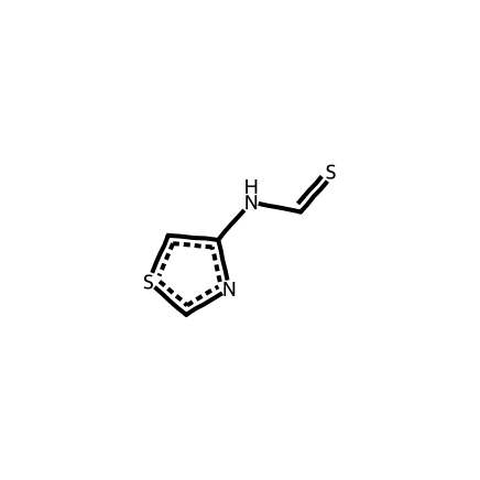 S=CNc1cscn1